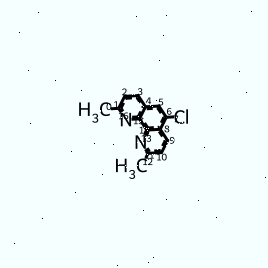 Cc1ccc2cc(Cl)c3ccc(C)nc3c2n1